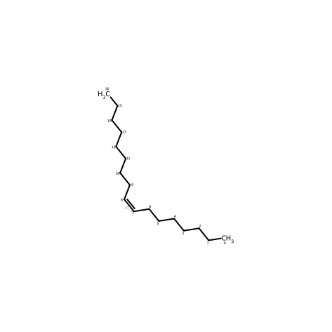 CCCCCCC/[C]=C\CCCCCCCC